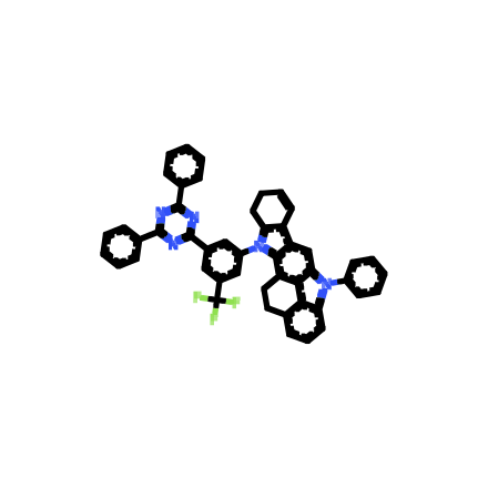 FC(F)(F)c1cc(-c2nc(-c3ccccc3)nc(-c3ccccc3)n2)cc(-n2c3c(c4cc5c6c(c42)CCc2cccc(c26)n5-c2ccccc2)C=CCC3)c1